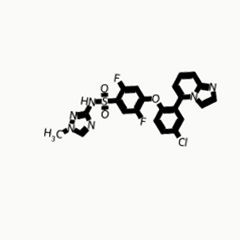 Cn1cnc(NS(=O)(=O)c2cc(F)c(Oc3ccc(Cl)cc3-c3cccc4nccn34)cc2F)n1